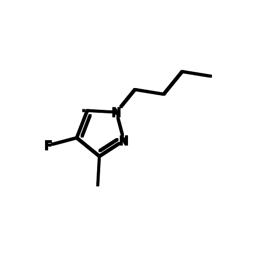 CCCCn1[c]c(F)c(C)n1